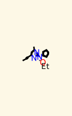 CC#Cc1cc(C)nc(N(COCC)c2ccccc2)n1